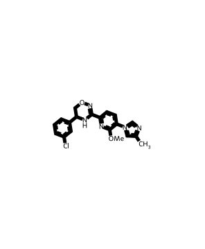 COc1nc(C2=NOCC(c3cccc(Cl)c3)N2)ccc1-n1cnc(C)c1